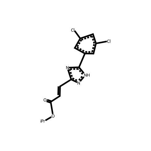 CC(C)OC(=O)/C=C/c1n[nH]c(-c2cc(Cl)cc(Cl)c2)n1